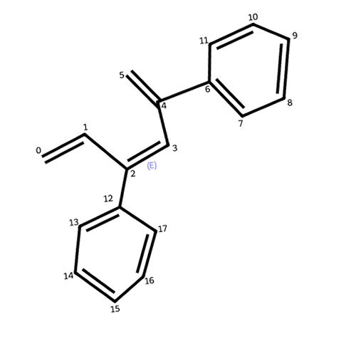 C=C/C(=C\C(=C)c1ccccc1)c1ccccc1